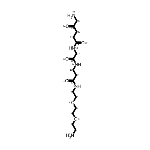 NCCOCCOCCNC(=O)CCNC(=O)CNC(=O)CCC(=O)CN